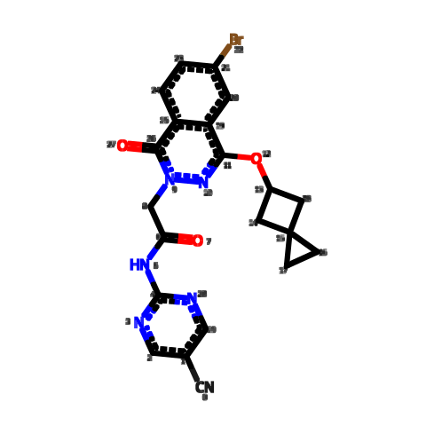 N#Cc1cnc(NC(=O)Cn2nc(OC3CC4(CC4)C3)c3cc(Br)ccc3c2=O)nc1